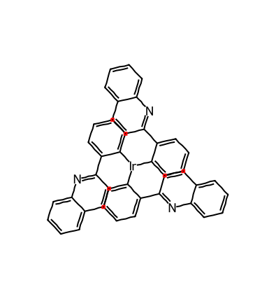 c1cc[c]([Ir]([c]2ccccc2-c2ccc3ccccc3n2)[c]2ccccc2-c2ccc3ccccc3n2)c(-c2ccc3ccccc3n2)c1